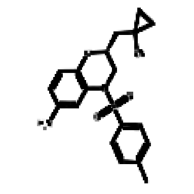 Cc1ccc(S(=O)(=O)N2C[C@H](CC3(C#N)CC3)Oc3ccc(N)cc32)cc1